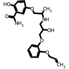 C=CCOc1ccccc1OCC(O)CNC(C)COc1ccc(O)c(C(N)=O)c1